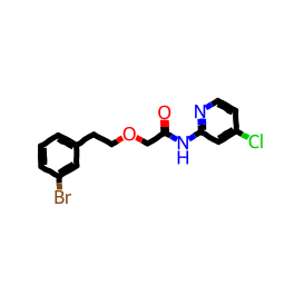 O=C(COCCc1cccc(Br)c1)Nc1cc(Cl)ccn1